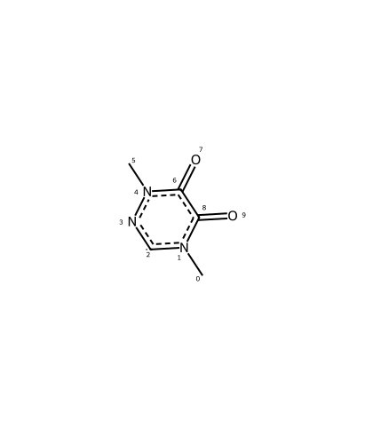 Cn1[c]nn(C)c(=O)c1=O